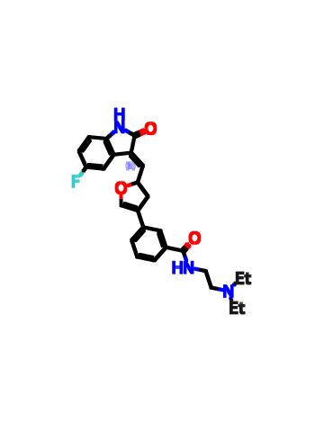 CCN(CC)CCNC(=O)c1cccc(C2=COC(/C=C3/C(=O)Nc4ccc(F)cc43)C2)c1